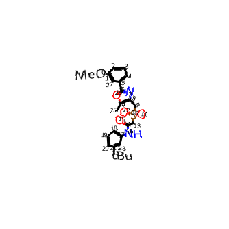 COc1cccc(-c2nc(CS(=O)(=O)CC(=O)Nc3cccc(C(C)(C)C)c3)c(C)o2)c1